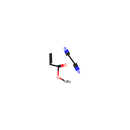 C=CC(=O)OCCCC.N#CC#N